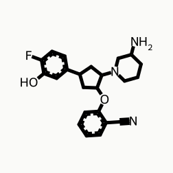 N#Cc1ccccc1OC1CC(c2ccc(F)c(O)c2)CC1N1CCCC(N)C1